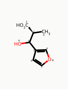 C[C@H](C(=O)O)C(O)c1ccoc1